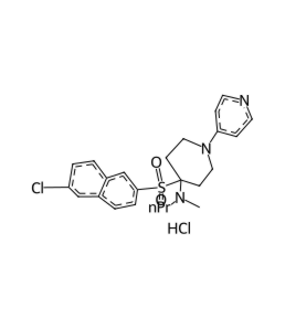 CCCN(C)C1(S(=O)(=O)c2ccc3cc(Cl)ccc3c2)CCN(c2ccncc2)CC1.Cl